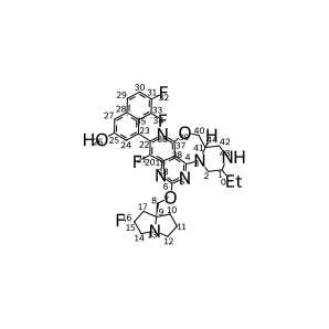 CCC1CN2c3nc(OC[C@@]45CCCN4C[C@H](F)C5)nc4c(F)c(-c5cc(O)cc6ccc(F)c(F)c56)nc(c34)OC[C@@H]2CN1